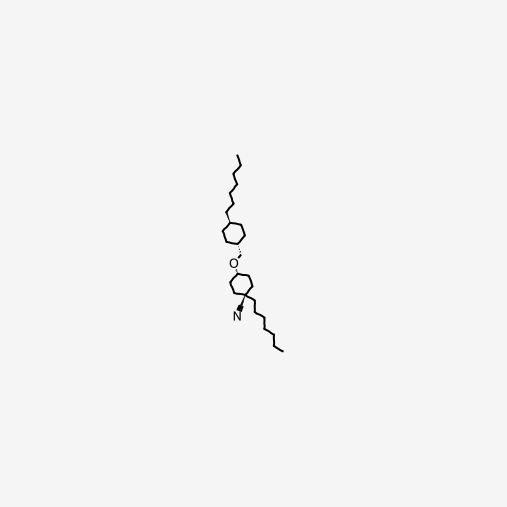 CCCCCCC[C@H]1CC[C@H](CO[C@H]2CC[C@@](C#N)(CCCCCCC)CC2)CC1